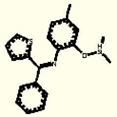 Cc1ccc(N=C(c2ccccc2)c2cccs2)c(O[SiH](C)C)c1